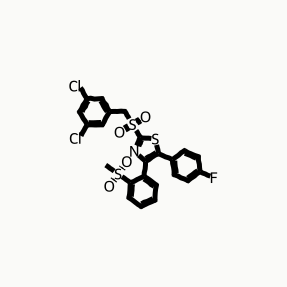 CS(=O)(=O)c1ccccc1-c1nc(S(=O)(=O)Cc2cc(Cl)cc(Cl)c2)sc1-c1ccc(F)cc1